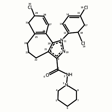 O=C(NN1CCCCC1)c1nn(C2=CC=C(Cl)CC2Cl)c2c1CCCC1=C2C=CC(Cl)C1